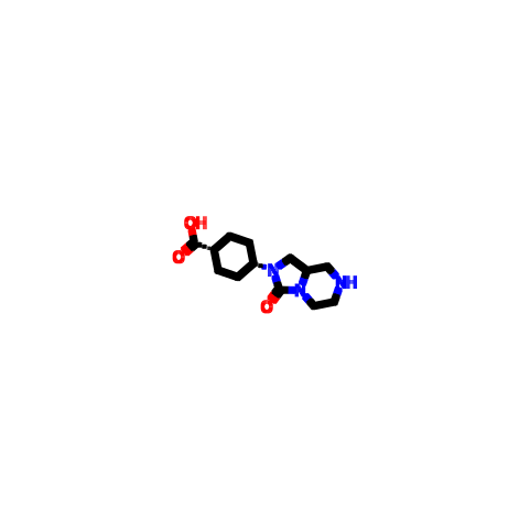 O=C1N2CCNCC2CN1[C@H]1CC[C@@H](C(=O)O)CC1